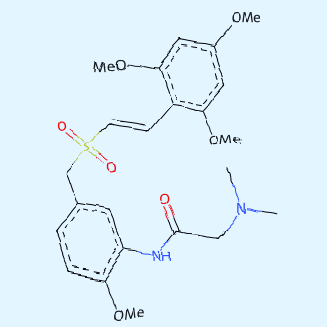 COc1cc(OC)c(C=CS(=O)(=O)Cc2ccc(OC)c(NC(=O)CN(C)C)c2)c(OC)c1